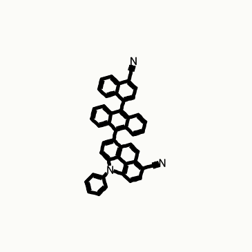 N#Cc1ccc(-c2c3ccccc3c(-c3ccc4c5c3ccc3c(C#N)ccc(c35)n4-c3ccccc3)c3ccccc23)c2ccccc12